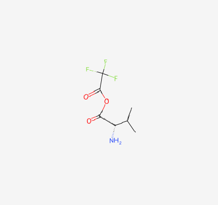 CC(C)[C@H](N)C(=O)OC(=O)C(F)(F)F